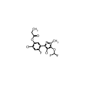 CCC(=O)Oc1cc(-c2nn(C)c(OC(F)F)c2Cl)c(F)cc1Cl